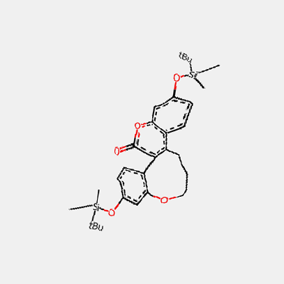 CC(C)(C)[Si](C)(C)Oc1ccc2c(c1)OCCCc1c-2c(=O)oc2cc(O[Si](C)(C)C(C)(C)C)ccc12